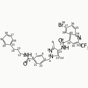 Cc1nn(Cc2ccc(C(=O)NCCCc3ccccc3)cc2)c(C)c1NC(=O)c1cc(C(F)(F)F)nc2ccc(Br)cc12